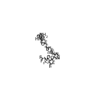 CC(C)N(CC(F)F)C(=O)c1cc(F)ccc1Oc1cncnc1N1CC2(CCN(CC[C@@H]3CC[C@@H](NS(N)(=O)=O)CO3)CC2)C1